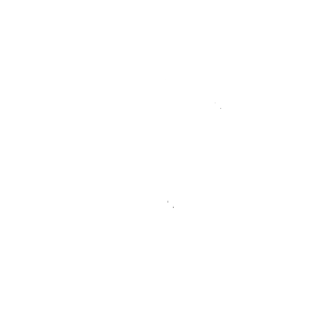 CCc1cc(F)c(C(=O)NC)cn1